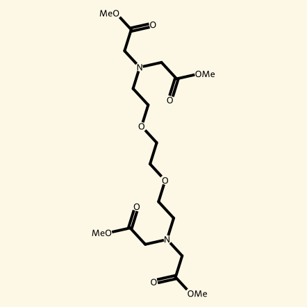 COC(=O)CN(CCOCCOCCN(CC(=O)OC)CC(=O)OC)CC(=O)OC